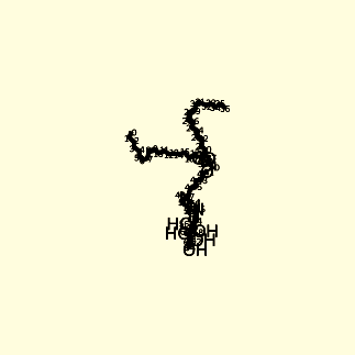 CCCCC/C=C\C/C=C\CCCCCCCCOC(CCCCCCC/C=C\C/C=C\CCCCC)O[Si](C)(C)OCCCCCCN(C)Cc1cn(CC(O)C(O)C(O)C(O)CO)nn1